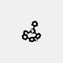 c1ccc(-c2ccc3oc4cccc(-c5cc(-c6ccccc6)nc(-c6ccccc6)n5)c4c3c2)cc1